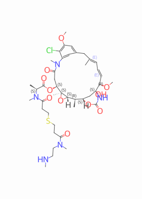 CNCCN(C)C(=O)CCSCCC(=O)N(C)[C@@H](C)C(=O)O[C@H]1CC(=O)N(C)c2cc(cc(OC)c2Cl)C/C(C)=C/C=C/[C@@H](OC)[C@@]2(O)C[C@H](OC(=O)N2)[C@@H](C)[C@@H]2O[C@@]12C